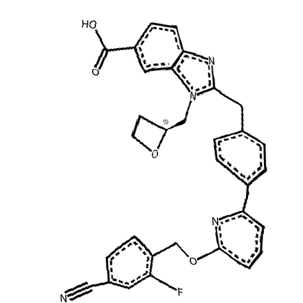 N#Cc1ccc(COc2cccc(-c3ccc(Cc4nc5ccc(C(=O)O)cc5n4C[C@@H]4CCO4)cc3)n2)c(F)c1